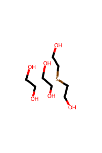 OCCO.OCCO.OCCSCCO